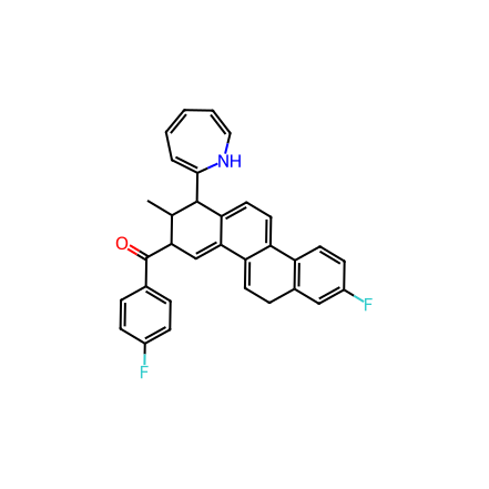 CC1C(C(=O)c2ccc(F)cc2)C=c2c(ccc3c2=CCc2cc(F)ccc2-3)C1C1=CC=CC=CN1